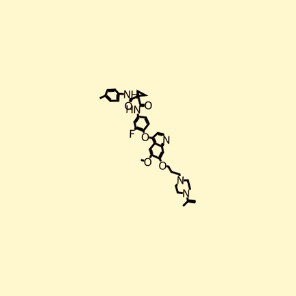 C=C(C)N1CCN(CCCOc2cc3nccc(Oc4ccc(NC(=O)C5(C(=O)Nc6ccc(C)cc6)CC5)cc4F)c3cc2OC)CC1